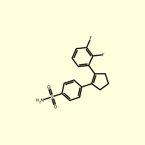 NS(=O)(=O)c1ccc(C2=C(c3cccc(F)c3F)CCC2)cc1